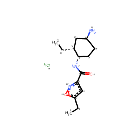 CCc1cc(C(=O)N[C@H]2CC[C@H](N)C[C@H]2CC)no1.Cl